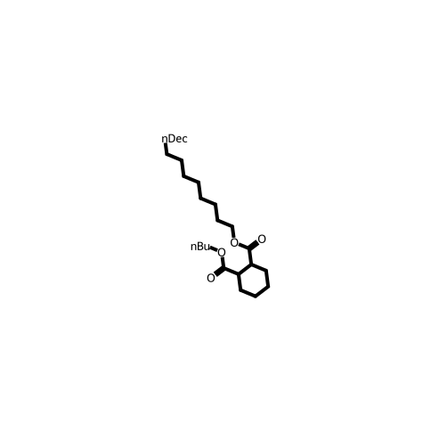 CCCCCCCCCCCCCCCCCCOC(=O)C1CCCCC1C(=O)OCCCC